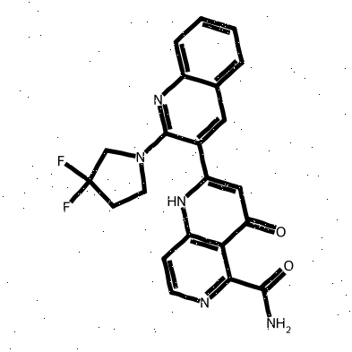 NC(=O)c1nccc2[nH]c(-c3cc4ccccc4nc3N3CCC(F)(F)C3)cc(=O)c12